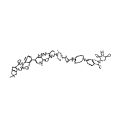 C[C@H]1CN(C2CC(N3CCN(c4ccc5c(c4)CN(C4CCC(=O)NC4=O)C5=O)CC3)C2)CCN1c1ccc(Nc2cc(-c3ccnc(N4CCn5c(cc6c5CC(C)(C)C6)C4=O)c3CO)cn(C)c2=O)nc1